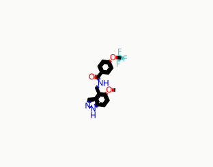 COc1ccc2[nH]ncc2c1CNC(=O)c1ccc(OC(F)(F)F)cc1